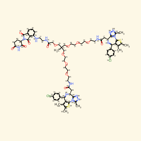 Cc1sc2c(c1C)C(c1ccc(Cl)cc1)=N[C@@H](CC(=O)NCCOCCOCCOCC(C)(COCCOCCOCCNC(=O)C[C@@H]1N=C(c3ccc(Cl)cc3)c3c(sc(C)c3C)-n3c(C)nnc31)COCC(=O)NCCNc1cccc3c1C(=O)N(C1CCC(=O)NC1=O)C3=O)c1nnc(C)n1-2